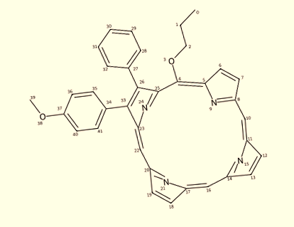 CCCOC1=C2C=CC(=N2)C=C2C=CC(=N2)C=C2C=CC(=N2)C=C2N=C1C(c1ccccc1)=C2c1ccc(OC)cc1